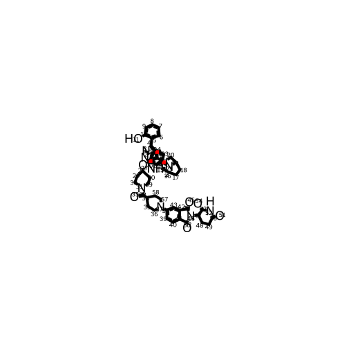 Nc1nnc(-c2ccccc2O)cc1N1CC2CCC(C1)N2c1cccc(OC2CCN(C(=O)C3CCN(c4ccc5c(c4)C(=O)N(C4CCC(=O)NC4=O)C5=O)CC3)CC2)c1